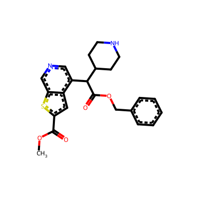 COC(=O)c1cc2c(C(C(=O)OCc3ccccc3)C3CCNCC3)cncc2s1